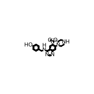 O=[N+]([O-])c1cc2c(NCc3ccc(O)cc3)ncnc2cc1N1CCNCC1